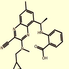 Cc1cc([C@@H](C)Nc2ccccc2C(=O)O)c2nc(N(C)CC3CC3)c(C#N)nc2c1